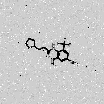 Bc1cc(N)c(NC(=O)CCC2CCCC2)c(C(F)(F)F)c1